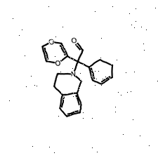 O=CC(C1=CC=CCC1)(C1=COC=CO1)N1CCc2ccccc2C1